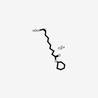 CCCCCCCC/C=C\CCCCCCCC(=O)OC1CCCCC1.[Cu].[Cu]